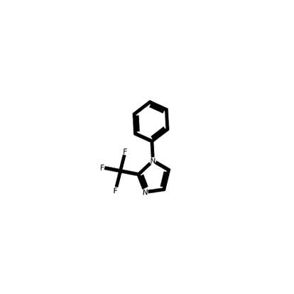 FC(F)(F)c1nccn1-c1ccccc1